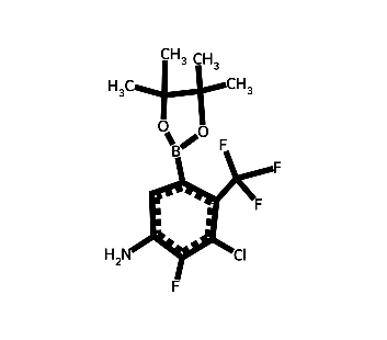 CC1(C)OB(c2cc(N)c(F)c(Cl)c2C(F)(F)F)OC1(C)C